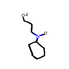 CCN(CCCC#N)C1CCCCC1